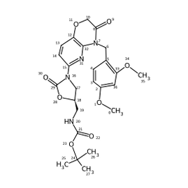 COc1ccc(CN2C(=O)COc3ccc(N4C[C@@H](CNC(=O)OC(C)(C)C)OC4=O)nc32)c(OC)c1